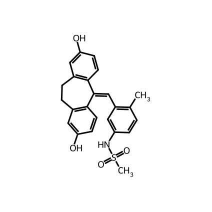 Cc1ccc(NS(C)(=O)=O)cc1C=C1c2ccc(O)cc2CCc2cc(O)ccc21